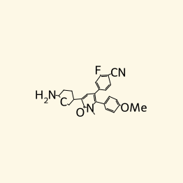 COc1ccc(-c2c(-c3ccc(C#N)c(F)c3)cc(C3CCC(N)CC3)c(=O)n2C)cc1